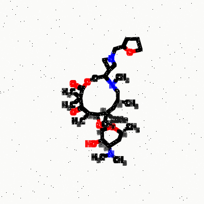 CO[C@]1(C)C[C@@H](C)CN(C)C(C2CN(CC3CCCO3)C2)COC(=O)C(C)(C)C(=O)[C@H](C)[C@H]1O[C@@H]1O[C@H](C)C[C@H](N(C)C)[C@H]1O